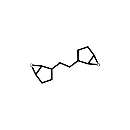 C(CC1CCC2OC12)C1CCC2OC12